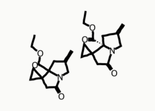 C=C1CN2C(=O)CC3(CC3)C2(C(=O)OCC)C1.C=C1CN2C(=O)CC3(CC3)[C@@]2(C(=O)OCC)C1